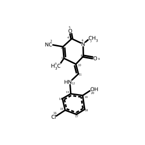 CC1=C(C#N)C(=O)N(C)C(=O)C1=CNc1cc(Cl)ccc1O